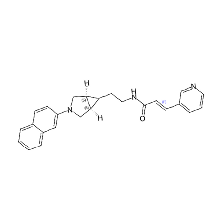 O=C(/C=C/c1cccnc1)NCCC1[C@H]2CN(c3ccc4ccccc4c3)C[C@@H]12